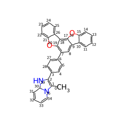 CC1=C(c2ccc(-c3cc4c5ccccc5oc4c4c3oc3ccccc34)cc2)NC2C=CC=CN12